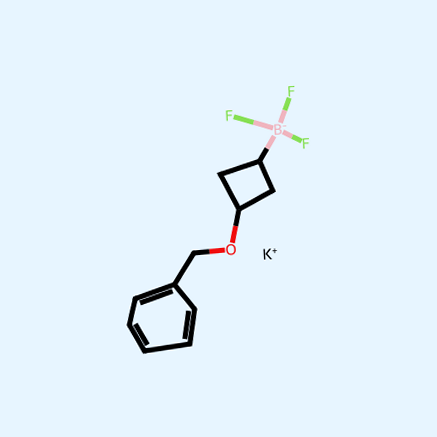 F[B-](F)(F)C1CC(OCc2ccccc2)C1.[K+]